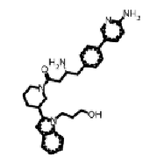 Nc1ccc(-c2ccc(C[C@@H](N)CC(=O)N3CCCC(c4cc5ccccc5n4CCCO)C3)cc2)cn1